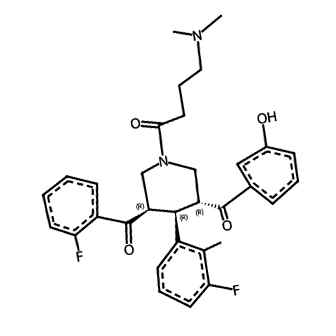 Cc1c(F)cccc1[C@@H]1[C@@H](C(=O)c2cccc(O)c2)CN(C(=O)CCCN(C)C)C[C@@H]1C(=O)c1ccccc1F